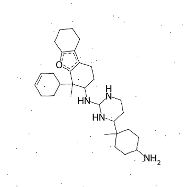 CC1(C2CCNC(NC3CCc4c(oc5c4CCCC5)C3(C)C3CC=CCC3)N2)CCC(N)CC1